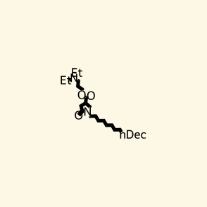 CCCCCCCCCCCCCCCCCCN1CC(C(=O)OCCCN(CC)CC)CC1=O